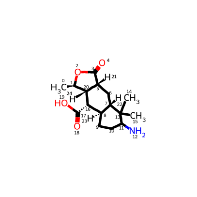 C[C@H]1OC(=O)[C@@H]2C[C@H]3[C@@H](CCC(N)C3(C)C)[C@H](C(=O)O)[C@H]12